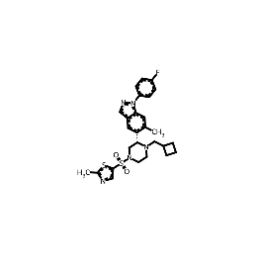 Cc1ncc(S(=O)(=O)N2CCN(CC3CCC3)[C@@H](c3cc4cnn(-c5ccc(F)cc5)c4cc3C)C2)s1